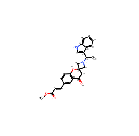 COC(=O)/C=C/c1ccc2c(c1)C(=O)CC1(CN(C(C)c3c[nH]c4ccccc34)C1)O2